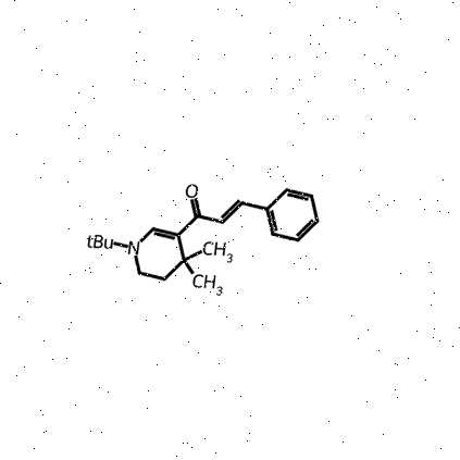 CC1(C)CCN(C(C)(C)C)C=C1C(=O)C=Cc1ccccc1